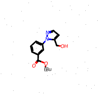 CC(C)(C)OC(=O)c1cccc(-n2nccc2CO)c1